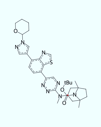 CN(c1ncc(-c2ccc(-c3cnn(C4CCCCO4)c3)c3ncsc23)nn1)C1CC2(C)CCC(C)(C1)N2C(=O)OC(C)(C)C